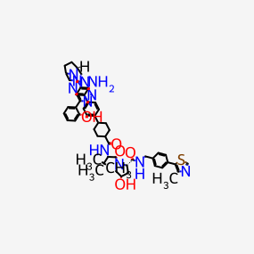 Cc1ncsc1-c1ccc(CNC(=O)[C@@H]2C[C@@H](O)CN2C(=O)[C@@H](NC(=O)C2CCC(c3ccc(-c4cnc(N5C6CC[C@H]5CN(c5cc(-c7ccccc7O)nnc5N)C6)nc4)cc3)CC2)C(C)(C)C)cc1